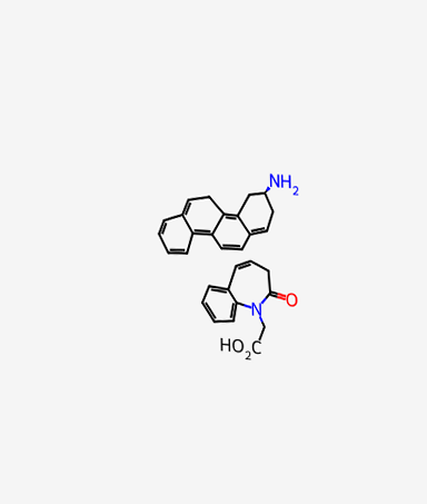 N[C@H]1CC=c2ccc3c(c2C1)CC=c1ccccc1=3.O=C(O)CN1C(=O)CC=Cc2ccccc21